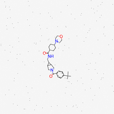 CC(C)(C)c1ccc(C(=O)N2CC3C(CNC(=O)C4CCC(N5CCOCC5)CC4)C3C2)cc1